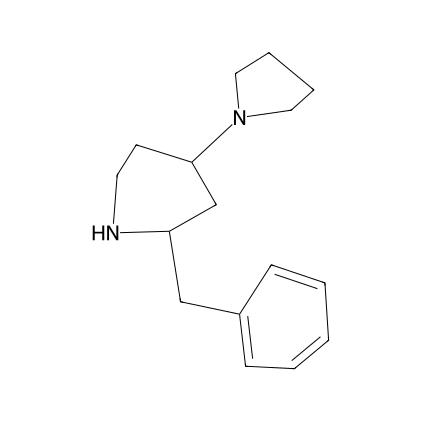 c1ccc(CC2CC(N3CCCC3)CCN2)cc1